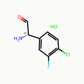 Cl.N[C@H](C=O)c1ccc(Cl)c(F)c1